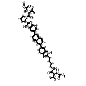 COC(=O)N[C@H](C(=O)NCCCCc1nc2ncc(-c3ccc4cc(-c5cnc6nc([C@H]7CCCN7C(=O)[C@@H](NC(=O)OC)C(C)C)[nH]c6c5)ccc4c3)cc2[nH]1)C(C)C